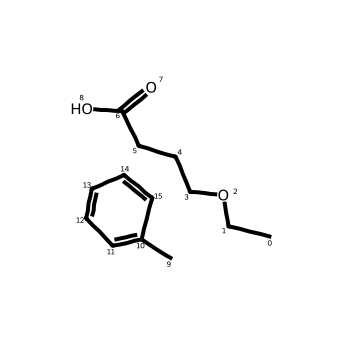 CCOCCCC(=O)O.Cc1ccccc1